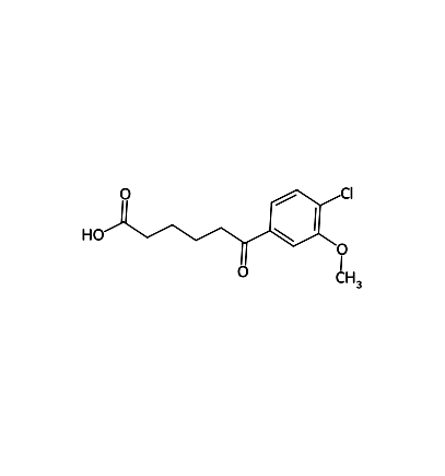 COc1cc(C(=O)CCCCC(=O)O)ccc1Cl